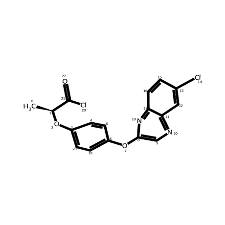 C[C@H](Oc1ccc(Oc2cnc3cc(Cl)ccc3n2)cc1)C(=O)Cl